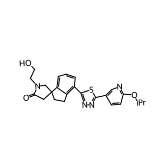 CC(C)Oc1ccc(-c2nnc(-c3cccc4c3CCC43CC(=O)N(CCO)C3)s2)cn1